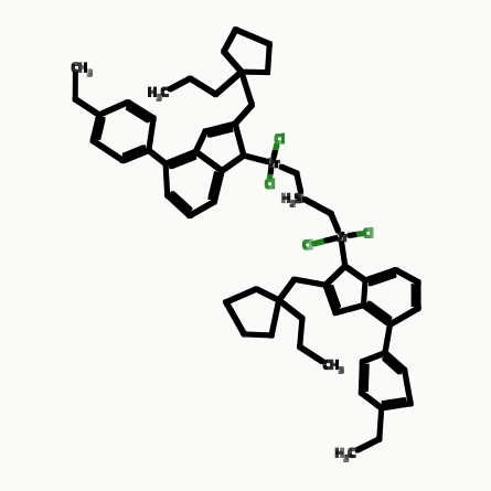 CCCC1(CC2=Cc3c(-c4ccc(CC)cc4)cccc3[CH]2[Zr]([Cl])([Cl])[CH2][SiH2][CH2][Zr]([Cl])([Cl])[CH]2C(CC3(CCC)CCCC3)=Cc3c(-c4ccc(CC)cc4)cccc32)CCCC1